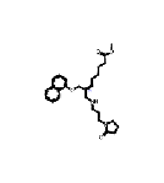 COC(=O)CCCC/C=C(/CNCCCN1CCCC1=O)COc1cccc2ccccc12